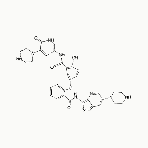 O=C(Nc1c[nH]c(=O)c(N2CCNCC2)c1)c1cc(Oc2ccccc2C(=O)Nc2scc3cc(N4CCNCC4)cnc23)ccc1O